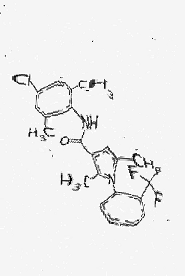 Cc1cc(Cl)cc(C)c1NC(=O)c1cc(C)n(-c2ccccc2C(F)(F)F)c1C